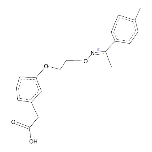 C/C(=N\OCCOc1cccc(CC(=O)O)c1)c1ccc(C)cc1